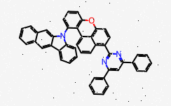 c1ccc(-c2cc(-c3ccccc3)nc(-c3ccc4c5c(cccc35)-c3c(cccc3-n3c5ccccc5c5cc6ccccc6cc53)O4)n2)cc1